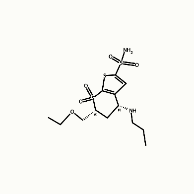 CCCN[C@@H]1C[C@H](COCC)S(=O)(=O)c2sc(S(N)(=O)=O)cc21